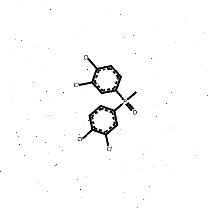 CP(=O)(c1ccc(Cl)c(Cl)c1)c1ccc(Cl)c(Cl)c1